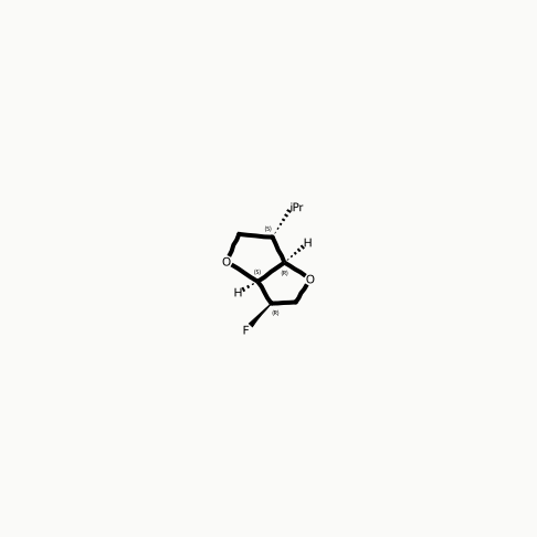 CC(C)[C@H]1CO[C@H]2[C@@H]1OC[C@H]2F